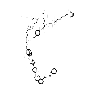 CO[C@@H]1C[C@H](O)C[C@H](Cn2cc(CCCN(CCCC34CC5(C)CC(C)(C3)C(Cn3ncc(-c6ccc(N7CCc8cccc(C(=O)Nc9nc%10ccccc%10s9)c8C7)nc6C(=O)O)c3C)(C5)C4)C(=O)OCc3ccc(NC(=O)C(CCCNC(N)=O)NC(=O)[C@@H](NC(=O)CCCCCN4C(=O)C=CC4=O)C(C)C)cc3)nn2)O1